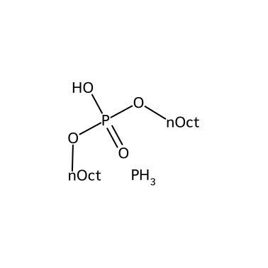 CCCCCCCCOP(=O)(O)OCCCCCCCC.P